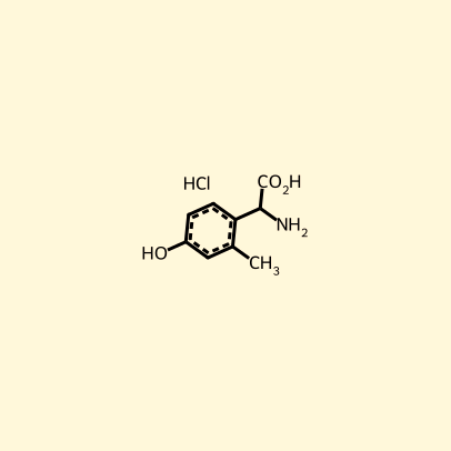 Cc1cc(O)ccc1C(N)C(=O)O.Cl